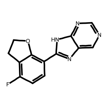 Fc1ccc(-c2nc3cncnc3[nH]2)c2c1CCO2